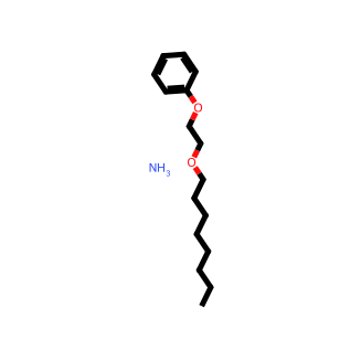 CCCCCCCCOCCOc1ccccc1.N